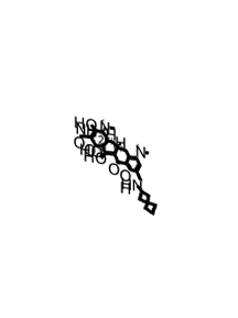 CN(C)c1cc(CNC2CC3(CCC3)C2)c(O)c2c1C[C@H]1C[C@H]3[C@H](N(C)C)C(O)=C(C(N)=O)C(=O)[C@@]3(O)C(O)=C1C2=O